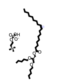 CCCCCCCC/C=C\CCCCCCCC(=O)OC[C@@H](COCCCCC)OCCCCC.C[N+](C)(C)CCOP(=O)([O-])O